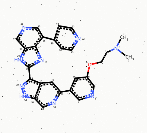 CN(C)CCOc1cncc(-c2cc3c(-c4nc5c(-c6ccncc6)cncc5[nH]4)n[nH]c3cn2)c1